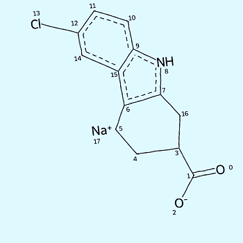 O=C([O-])C1CCc2c([nH]c3ccc(Cl)cc23)C1.[Na+]